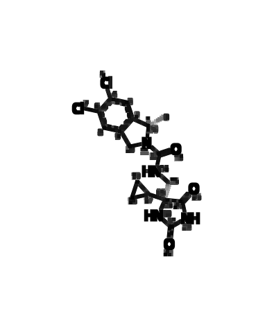 C[C@H]1c2cc(Cl)c(Cl)cc2CN1C(=O)NC[C@@]1(C2CC2)NC(=O)NC1=O